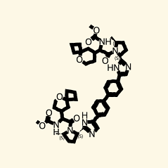 COC(=O)NC(C(=O)N1[C@@H](C)CC[C@H]1c1ncc(-c2ccc(-c3ccc(-c4cnc([C@@H]5CC[C@H](C)N5C(=O)C(NC(=O)OC)C5CCOC6(CCC6)C5)[nH]4)cc3)cc2)[nH]1)C1CCOC2(CCC2)C1